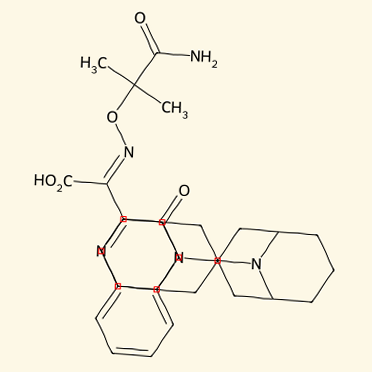 CC(C)(O/N=C(\C(=O)O)c1nc2ccccc2n(C2CC3CCCC(C2)N3C2CC3CCCC(C3)C2)c1=O)C(N)=O